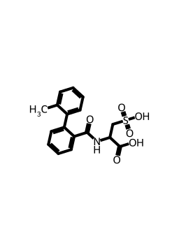 Cc1ccccc1-c1ccccc1C(=O)NC(CS(=O)(=O)O)C(=O)O